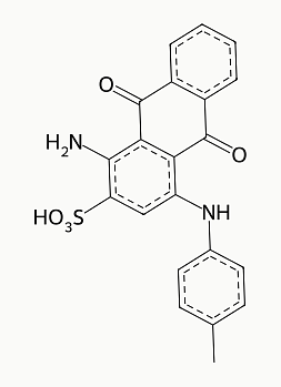 Cc1ccc(Nc2cc(S(=O)(=O)O)c(N)c3c2C(=O)c2ccccc2C3=O)cc1